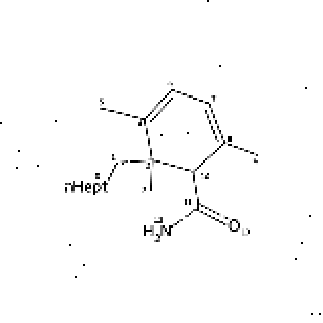 CCCCCCCCC1(C)C(C)=CC=C(C)C1C(N)=O